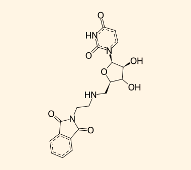 O=C1c2ccccc2C(=O)N1CCNC[C@H]1O[C@@H](n2ccc(=O)[nH]c2=O)[C@@H](O)C1O